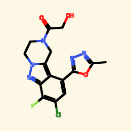 Cc1nnc(-c2cc(Cl)c(F)c3nn4c(c23)CN(C(=O)CO)CC4)o1